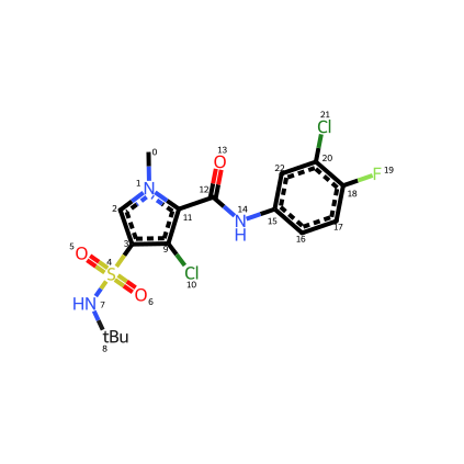 Cn1cc(S(=O)(=O)NC(C)(C)C)c(Cl)c1C(=O)Nc1ccc(F)c(Cl)c1